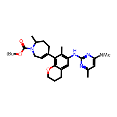 CNc1cc(C)nc(Nc2cc3c(c(C4=CCN(C(=O)OC(C)(C)C)C(C)CC4)c2C)OCCC3)n1